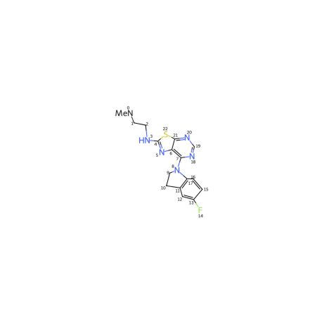 CNCCNc1nc2c(N3CCc4cc(F)ccc43)ncnc2s1